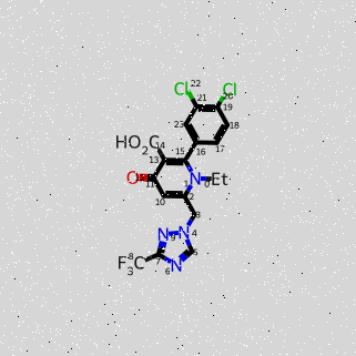 CCn1c(Cn2cnc(C(F)(F)F)n2)cc(=O)c(C(=O)O)c1-c1ccc(Cl)c(Cl)c1